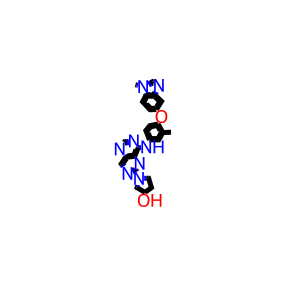 Cc1cc(Nc2ncnc3cnc(N4CCC(O)C4)nc23)ccc1Oc1ccc2c(c1)ncn2C